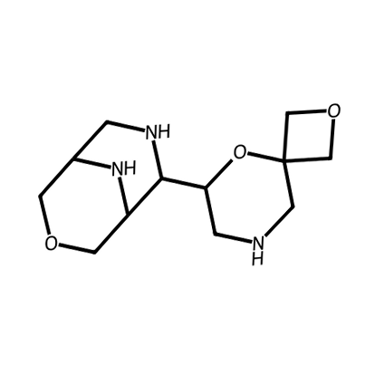 C1NC(C2CNCC3(COC3)O2)C2COCC1N2